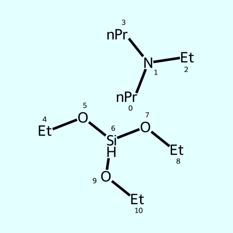 CCCN(CC)CCC.CCO[SiH](OCC)OCC